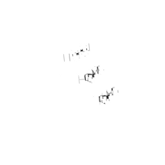 CCCCCCCCCCCCCCCC(=O)OCC(CO)OC(=O)CCCCCCCCCCCCCCC.CCCCCCCCCCCCCCCC(=O)OCC(CO)OC(=O)CCCCCCCCCCCCCCC.O=C(O)CCC(=O)O